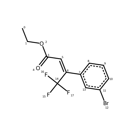 CCOC(=O)/C=C(/c1cccc(Br)c1)C(F)(F)F